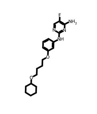 Nc1nc(Nc2cccc(OCCCCOC3CCCCC3)c2)ncc1F